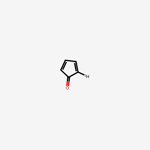 [2H]C1=CC=CC1=O